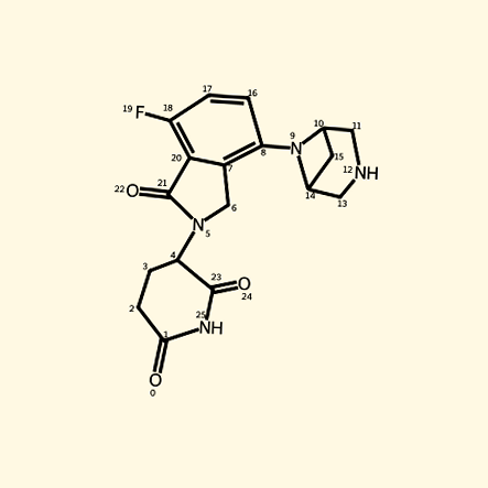 O=C1CCC(N2Cc3c(N4C5CNCC4C5)ccc(F)c3C2=O)C(=O)N1